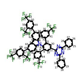 FC(F)(F)c1cccc(-c2cc(-c3nc(-c4ccccc4)nc(-c4ccccc4)n3)cc(-c3cccc(C(F)(F)F)c3)c2-n2c3ccc(-c4ccc(C(F)(F)F)cc4C(F)(F)F)cc3c3cc(-c4ccc(C(F)(F)F)cc4C(F)(F)F)ccc32)c1